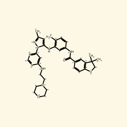 Cc1cc(Nc2cc(NC(=O)c3ccc4c(c3)C(C)(C)CO4)ccc2C)n(-c2cc(NCCN3CCOCC3)ncn2)n1